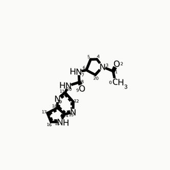 CC(=O)N1CCC(NC(=O)Nc2cnc3[nH]ccc3n2)C1